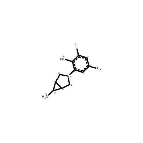 N#Cc1c(F)cc(F)cc1N1CC2C(N)C2C1